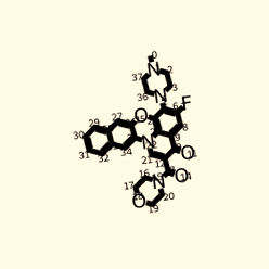 CN1CCN(c2c(F)cc3c(=O)c(C(=O)N4CCOCC4)cn4c3c2Oc2cc3ccccc3cc2-4)CC1